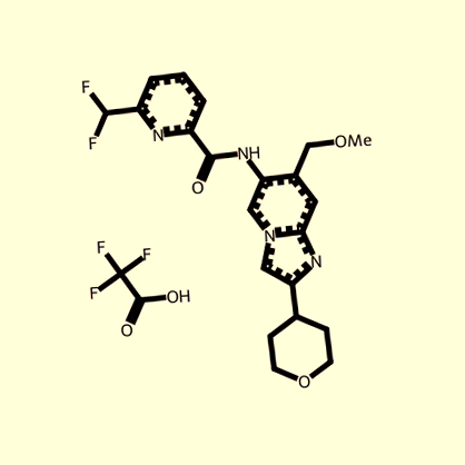 COCc1cc2nc(C3CCOCC3)cn2cc1NC(=O)c1cccc(C(F)F)n1.O=C(O)C(F)(F)F